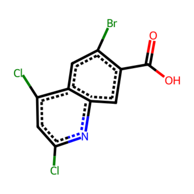 O=C(O)c1cc2nc(Cl)cc(Cl)c2cc1Br